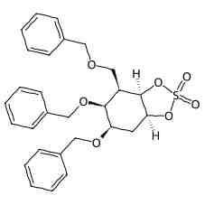 O=S1(=O)O[C@@H]2[C@H](COCc3ccccc3)[C@H](OCc3ccccc3)[C@H](OCc3ccccc3)C[C@@H]2O1